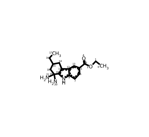 CCOC(=O)c1ccc2[nH]c3c(c2c1)CC(CC)CC3(N)N